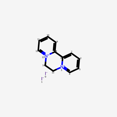 [I-].[I-].c1cc[n+]2c(c1)-c1cccc[n+]1CC2